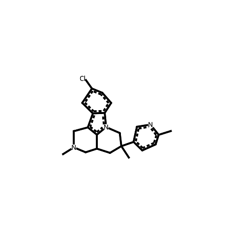 Cc1ccc(C2(C)CC3CN(C)Cc4c3n(c3ccc(Cl)cc43)C2)cn1